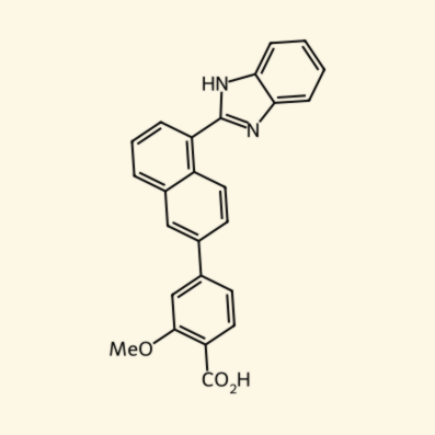 COc1cc(-c2ccc3c(-c4nc5ccccc5[nH]4)cccc3c2)ccc1C(=O)O